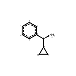 N[C@H](c1ccccc1)C1CC1